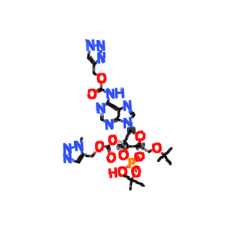 Cn1cc(COC(=O)Nc2ncnc3c2ncn3[C@@H]2O[C@H](COC(C)(C)C)C(OP(=O)(O)OC(C)(C)C)[C@@H]2OC(=O)OCc2cnnn2C)nn1